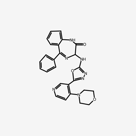 O=C1Nc2ccccc2C(c2ccccc2)=NC1Nc1nnc(-c2cnccc2N2CCOCC2)o1